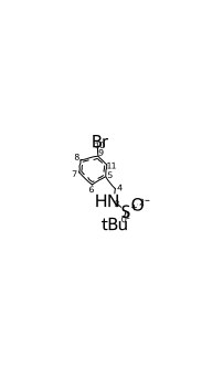 CC(C)(C)[S+]([O-])NCc1cccc(Br)c1